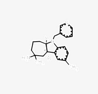 Cc1ccc2c(c1)[C@H]1CC(C)(N)CCC[C@@H]1N2Cc1cccnc1